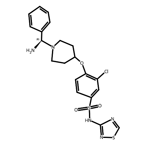 N[C@@H](c1ccccc1)N1CCC(Oc2ccc(S(=O)(=O)Nc3ncsn3)cc2Cl)CC1